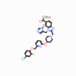 CCn1cncc1Cn1c(CN2CCC(Oc3cccc(COc4ccc(Cl)cc4F)n3)CC2)nc2ccc(C(=O)OC)cc21